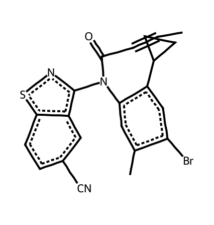 CC#CC(=O)N(c1cc(C)c(Br)cc1C1CC1)c1nsc2ccc(C#N)cc12